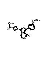 CCCCOc1cccc(-c2nc([C@H]3C[C@@H](C(=O)OC)C3)n3ccnc(Cl)c23)c1